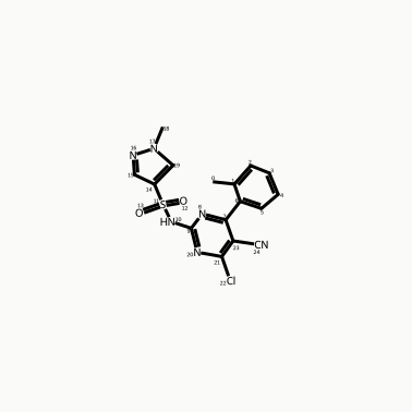 Cc1ccccc1-c1nc(NS(=O)(=O)c2cnn(C)c2)nc(Cl)c1C#N